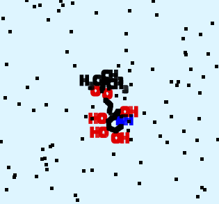 CC(C)(C)C(=O)OCCC[C@]1(CO)NC[C@H](O)[C@@H](O)[C@@H]1O